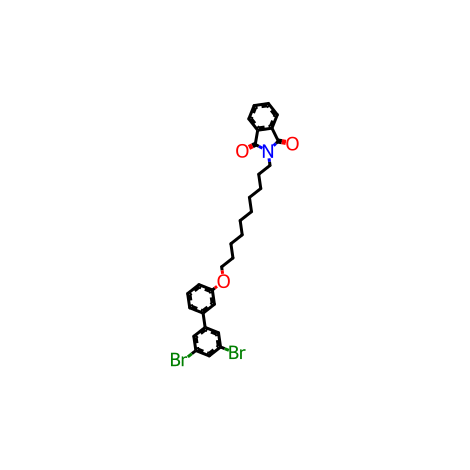 O=C1c2ccccc2C(=O)N1CCCCCCCCCCOc1cccc(-c2cc(Br)cc(Br)c2)c1